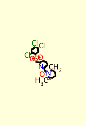 C[C@@H]1CCC[C@H](C)N1C(=O)c1cccc(CS(=O)(=O)c2cc(Cl)c(Cl)cc2Cl)n1